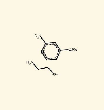 COc1cccc([N+](=O)[O-])c1.NCCO